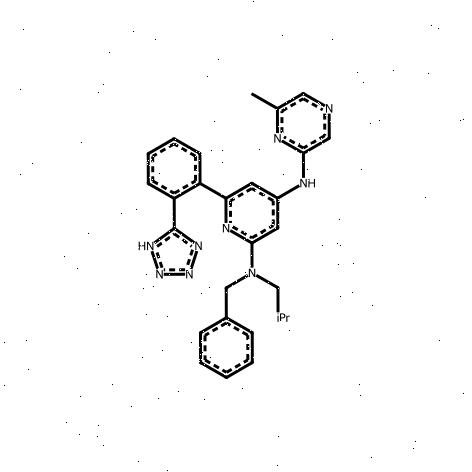 Cc1cncc(Nc2cc(-c3ccccc3-c3nnn[nH]3)nc(N(Cc3ccccc3)CC(C)C)c2)n1